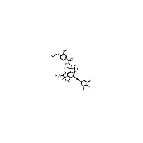 COc1cc(C(=O)NCC(O)(c2cc3c(c(C#Cc4cc(F)c(F)c(F)c4)n2)OC[C@]3(C)C(N)=O)C(F)(F)F)ccc1OC1CC1